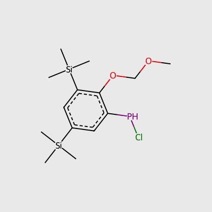 COCOc1c(PCl)cc([Si](C)(C)C)cc1[Si](C)(C)C